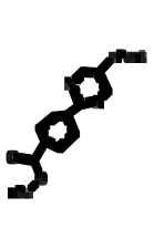 CCCCCc1cnc(-c2ccc(C(=O)OCCCC)cc2)nc1